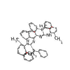 Cc1cccc(C)c1N/C(=N/c1ccc2ccccc2c1/N=C(\Nc1c(C)cccc1C)P(c1ccccc1)c1ccccc1)P(c1ccccc1)c1ccccc1